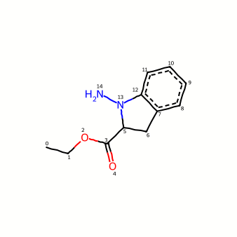 CCOC(=O)C1Cc2ccccc2N1N